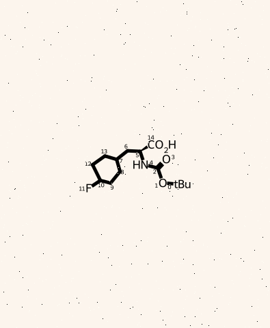 CC(C)(C)OC(=O)N[C@@H](CC1CCC(F)CC1)C(=O)O